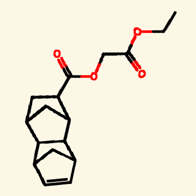 CCOC(=O)COC(=O)C1CC2CC1C1C3C=CC(C3)C21